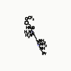 CC(C)CCNC/C(N)=C/N(N)CCCCN(N)/C=C(\N)C(=O)NCc1cccc(OC(F)(F)F)c1